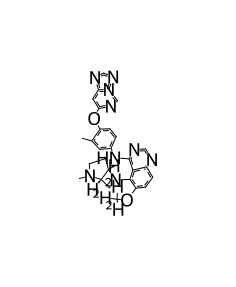 [2H]C([2H])([2H])Oc1ccc2ncnc(Nc3ccc(Oc4cc5ncnn5cn4)c(C)c3)c2c1N1C[C@H]2[C@@H]1CCN2C